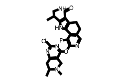 CC1CNC(=O)c2c1[nH]c1c2CCc2cnc(Oc3nc(Cl)nc4c3CN(C)C(C)C4)c(F)c2-1